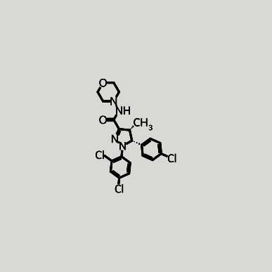 C[C@H]1C(C(=O)NN2CCOCC2)=NN(c2ccc(Cl)cc2Cl)[C@H]1c1ccc(Cl)cc1